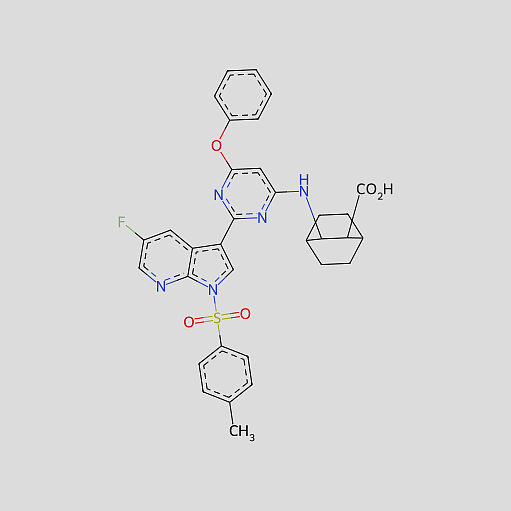 Cc1ccc(S(=O)(=O)n2cc(-c3nc(NC4C5CCC(CC5)C4C(=O)O)cc(Oc4ccccc4)n3)c3cc(F)cnc32)cc1